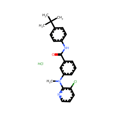 CN(c1cccc(C(=O)Nc2ccc(C(C)(C)C)cc2)c1)c1ncccc1Cl.Cl